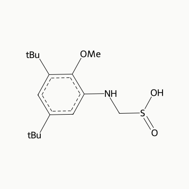 COc1c(NCS(=O)O)cc(C(C)(C)C)cc1C(C)(C)C